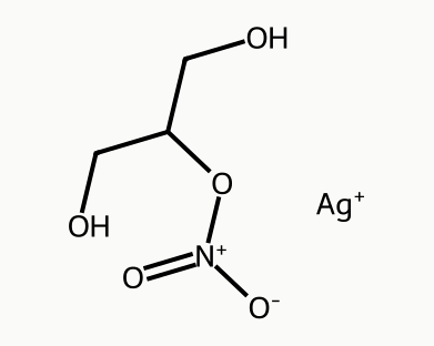 O=[N+]([O-])OC(CO)CO.[Ag+]